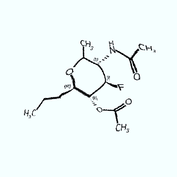 CCC[C@H]1OC(C)[C@H](NC(C)=O)[C@@H](F)[C@@H]1OC(C)=O